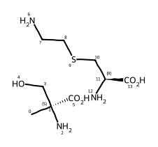 C[C@](N)(CO)C(=O)O.NCCSC[C@H](N)C(=O)O